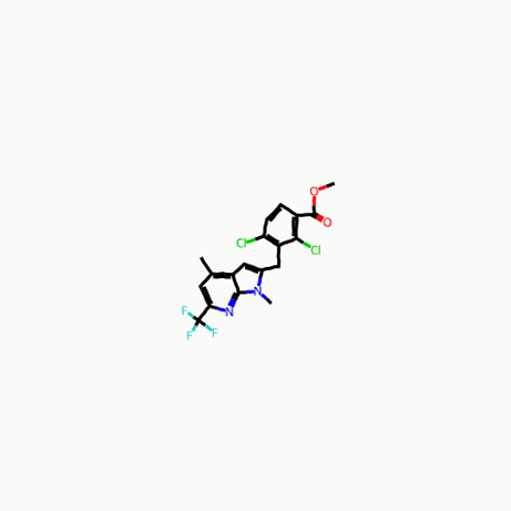 COC(=O)c1ccc(Cl)c(Cc2cc3c(C)cc(C(F)(F)F)nc3n2C)c1Cl